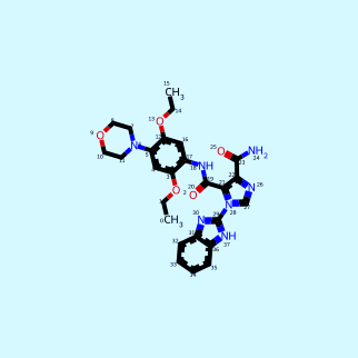 CCOc1cc(N2CCOCC2)c(OCC)cc1NC(=O)c1c(C(N)=O)ncn1-c1nc2ccccc2[nH]1